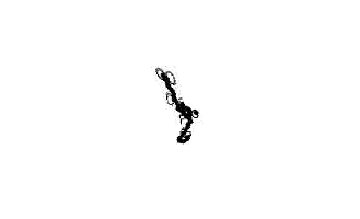 COC(=O)CCC(=O)c1cc2c(F)c(CCCOC3CCCCO3)c(OC)cc2s1